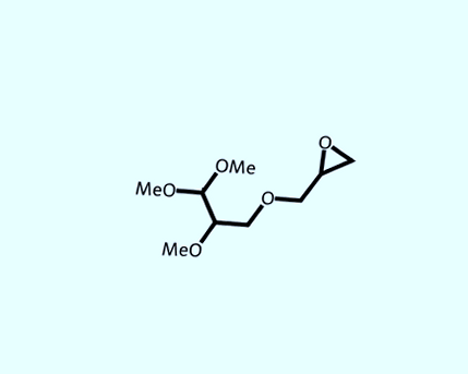 CO[C](OC)C(COCC1CO1)OC